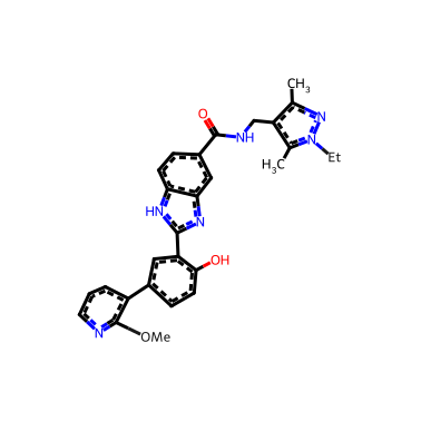 CCn1nc(C)c(CNC(=O)c2ccc3[nH]c(-c4cc(-c5cccnc5OC)ccc4O)nc3c2)c1C